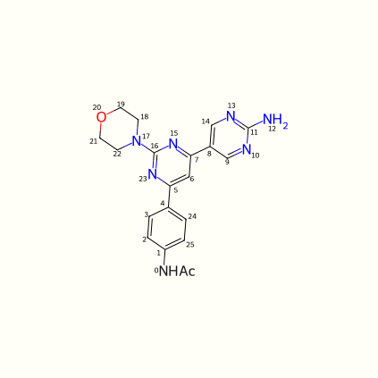 CC(=O)Nc1ccc(-c2cc(-c3cnc(N)nc3)nc(N3CCOCC3)n2)cc1